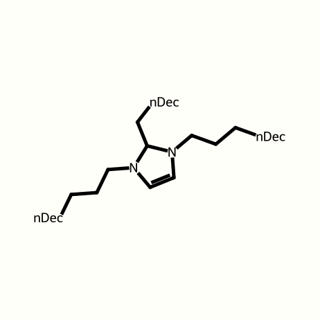 CCCCCCCCCCCCCN1C=CN(CCCCCCCCCCCCC)C1CCCCCCCCCCC